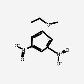 CCOC.O=[N+]([O-])c1cccc([N+](=O)[O-])c1